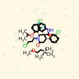 CC(C)Oc1ccc(F)c(F)c1[C@H]1N(CCCCl)C(=O)C[C@@H](c2cccc(Cl)c2)[C@]12C(=O)Nc1cc(Cl)ccc12.COCC[Si](C)(C)C